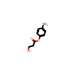 O=C(CCO)Oc1ccc([N+](=O)[O-])cc1